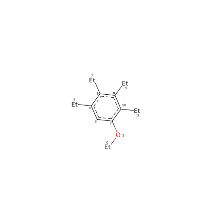 [CH2]COc1cc(CC)c(CC)c(CC)c1CC